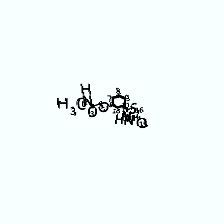 CNC(=O)COc1cccc(C2=NNC(=O)CS2)c1